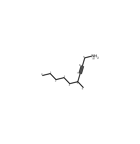 CCCCCC(C)C#CCN